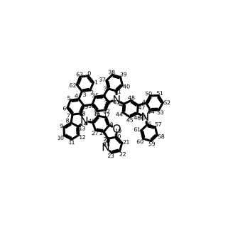 c1ccc(-c2ccc3c4ccccc4n(-c4ccc5oc6cccnc6c5c4)c3c2-c2ccc3c(c2)c2ccccc2n3-c2ccc3c(c2)c2ccccc2n3-c2ccccc2)cc1